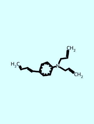 C=C/C=C/c1ccc(N(CC=C)CC=C)cc1